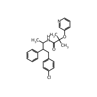 CC(NC(=O)C(C)(C)Oc1cccnc1)C(Cc1ccc(Cl)cc1)c1ccccc1